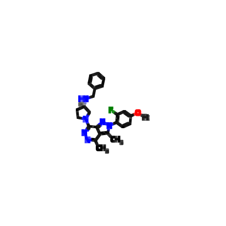 CCOc1ccc(-n2nc3c(N4CC[C@H](NCc5ccccc5)C4)nnc(C)c3c2C)c(F)c1